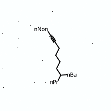 [CH2]CCCCCCCCC#CCCCCC(CCC)CCC[CH2]